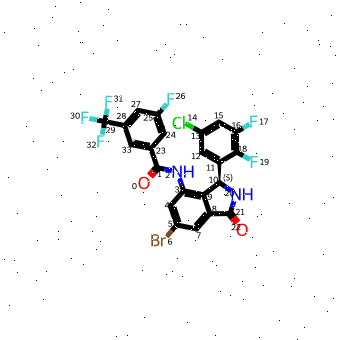 O=C(Nc1cc(Br)cc2c1[C@@H](c1cc(Cl)cc(F)c1F)NC2=O)c1cc(F)cc(C(F)(F)F)c1